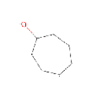 [O]C1CC[CH]CCC1